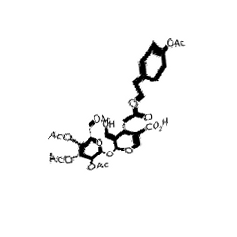 CC(=O)OC[C@@H]1O[C@H](O[C@H]2OC=C(C(=O)O)[C@@H](CC(=O)OCCc3ccc(OC(C)=O)cc3)/C2=C\O)[C@@H](OC(C)=O)[C@H](OC(C)=O)[C@H]1OC(C)=O